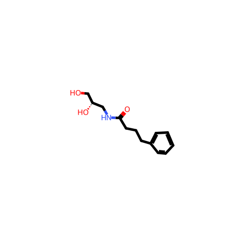 O=C(CCCc1ccccc1)NC[C@H](O)CO